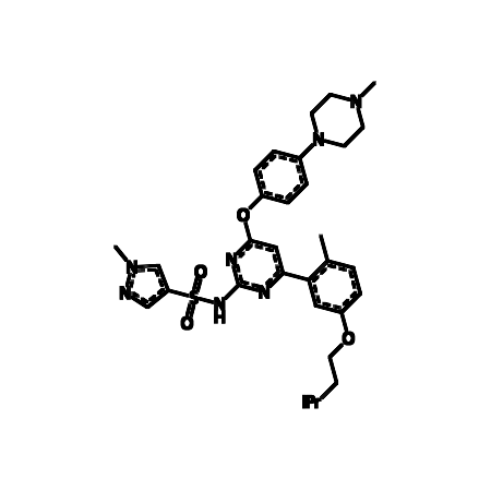 Cc1ccc(OCCC(C)C)cc1-c1cc(Oc2ccc(N3CCN(C)CC3)cc2)nc(NS(=O)(=O)c2cnn(C)c2)n1